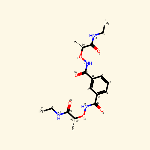 CC(C)CNC(=O)[C@@H](C)ONC(=O)c1cccc(C(=O)NO[C@H](C)C(=O)NCC(C)C)c1